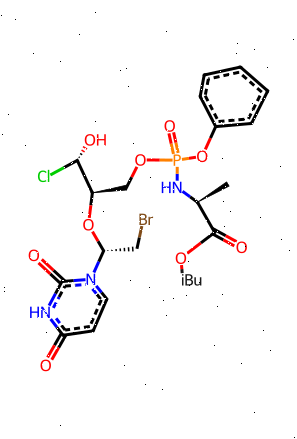 CCC(C)OC(=O)[C@H](C)NP(=O)(OC[C@@H](O[C@H](CBr)n1ccc(=O)[nH]c1=O)[C@@H](O)Cl)Oc1ccccc1